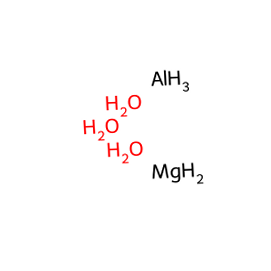 O.O.O.[AlH3].[MgH2]